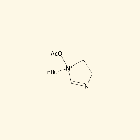 CCCC[N+]1(OC(C)=O)C=NCC1